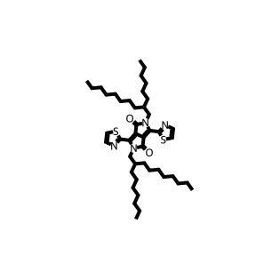 CCCCCCCCC(CCCCCC)CN1C(=O)C2=C(c3nccs3)N(CC(CCCCCCC)CCCCCCCC)C(=O)C2=C1c1nccs1